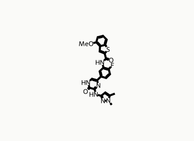 COc1cccc2sc(C(=O)Nc3cc(-c4c[nH]c(=O)c(Nc5cc(C)n(C)n5)n4)ccc3F)cc12